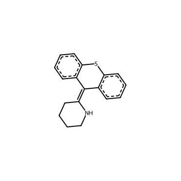 c1ccc2c(c1)Sc1ccccc1C2=C1CCCCN1